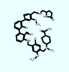 COc1cc(-c2cccc(-c3cccc(NCc4cc(OC)c(CN(C)C5CCC(C(=O)O)CC5)cc4Cl)c3C=N)c2Cl)ccc1CNCC1CCC(=O)N1